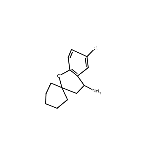 NC1CC2(CCCCC2)Oc2ccc(Cl)cc21